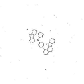 c1ccc(N(c2ccc(-c3cccc4ccc5c6ccccc6oc5c34)cc2)c2cccc3sc4ccccc4c23)cc1